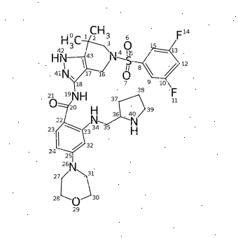 CC1(C)CN(S(=O)(=O)c2cc(F)cc(F)c2)Cc2c(NC(=O)c3ccc(N4CCOCC4)cc3NCC3CCCN3)n[nH]c21